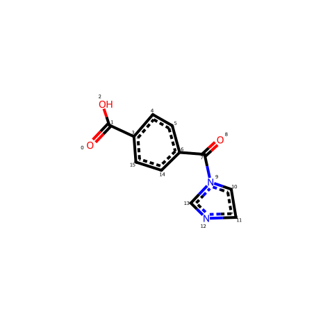 O=C(O)c1ccc(C(=O)n2ccnc2)cc1